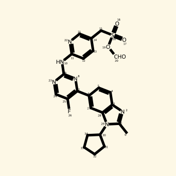 Cc1nc2ccc(-c3nc(Nc4ccc(CS(=O)(=O)OC=O)cn4)ncc3F)cc2n1C1CCCC1